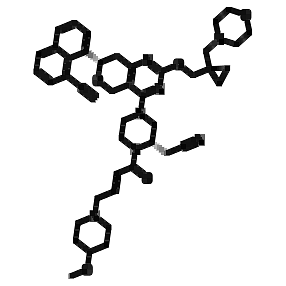 C#Cc1cccc2cccc([C@@H]3Cc4nc(OCC5(CN6CCOCC6)CC5)nc(N5CCN(C(=O)/C=C/CN6CCC(OC)CC6)[C@@H](CC#N)C5)c4CO3)c12